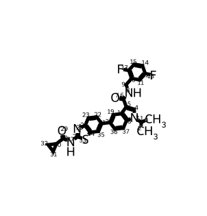 CC(C)n1cc(C(=O)NCc2cc(F)ccc2F)c2cc(-c3ccc4nc(NC(=O)C5CC5)sc4c3)ccc21